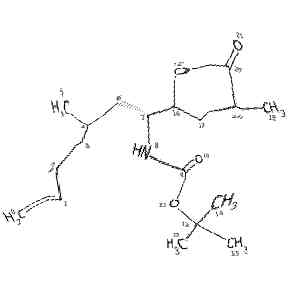 C=CCCC(C)C[C@@H](NC(=O)OC(C)(C)C)C1CC(C)C(=O)O1